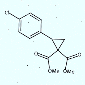 COC(=O)C1(C(=O)OC)CC1c1ccc(Cl)cc1